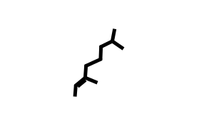 C/C=C(\C)CCCC(C)C